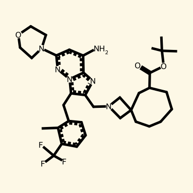 Cc1c(Cc2c(CN3CC4(CCCCCC(C(=O)OC(C)(C)C)C4)C3)nc3c(N)cc(N4CCOCC4)nn23)cccc1C(F)(F)F